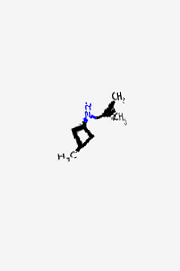 CC1CC(NC(C)C)C1